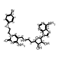 Nc1nc(=O)n(CCOc2ccc(Br)cc2)cc1CNCCC1OC(n2cnc3c(N)ncnc32)C(O)C1O